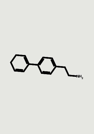 NCCc1ccc(C2=CCCC=C2)cc1